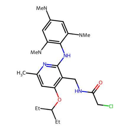 CCC(CC)Oc1cc(C)nc(Nc2c(NC)cc(NC)cc2NC)c1CNC(=O)CCl